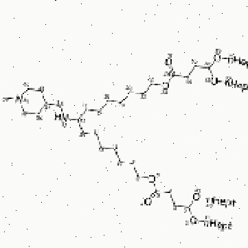 CCCCCCCOC(CCC(=O)OCCCCCCCC(CCCCCCCOC(=O)CCC(OCCCCCCC)OCCCCCCC)NCC1CCN(C)CC1)OCCCCCCC